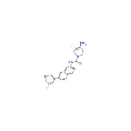 N[C@H]1CCN(C(=O)Nc2cc3cc(-c4cncc(F)c4)ccc3cn2)C[C@@H]1F